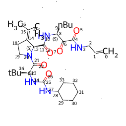 C=CCNC(=O)C(=O)[C@H](CCCC)NC(=O)[C@@H]1C(=C(C)C)CCN1C(=O)[C@@H](NC(=O)NC1CCCCC1)C(C)(C)C